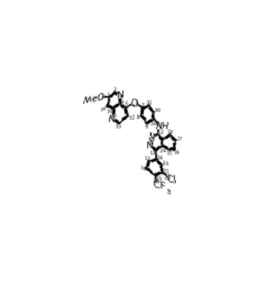 COc1cnc2c(Oc3ccc(Nc4nnc(-c5ccc(C(F)(F)F)c(Cl)c5)c5ccccc45)cc3)ccnc2c1